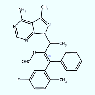 Cc1ccc(F)cc1/C(=C(\OC=O)C(C)n1nc(C)c2c(N)ncnc21)c1ccccc1